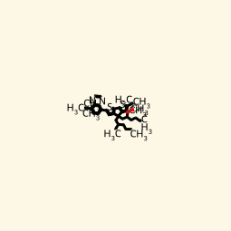 CCCCC(CC)CC1(CC(CC)CCCC)c2cc(-c3ccc(C(C)(C)C)c4nccnc34)sc2-c2sc(C(C)(C)C)cc21